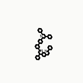 c1ccc(-c2cc(-c3ccccc3)nc(-c3ccc(-c4cccc(-c5cc(-c6ccccc6)c6ccc7ccc(-c8ccccc8)nc7c6n5)c4)cc3)c2)cc1